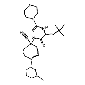 CC1CCCC(N2CCC(C#N)(NC(=O)C(CC(C)(C)C)NC(=O)N3CCOCC3)CC2)C1